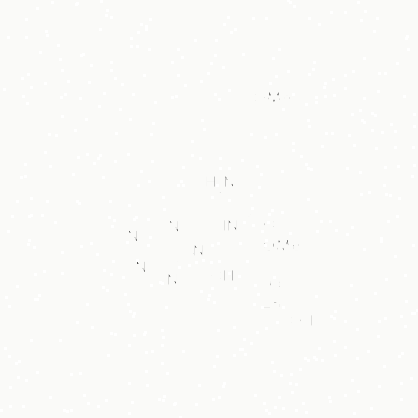 COc1ccc(CC(N)C(=O)NC(C(COPO)OC)C(O)n2cnc3c(N(C)C)ncnc32)cc1